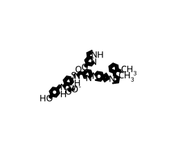 CC(C)c1ccccc1C1CCCN1C1CC2(CCN(c3cc(Oc4cnc5[nH]ccc5c4)c(C(=O)NSc4ccc(NCC5CCC(O)CC5)c([N+](=O)[O-])c4)cn3)CC2)C1